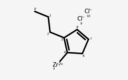 CCCC1=[C]([Zr+2])CC=C1.[Cl-].[Cl-]